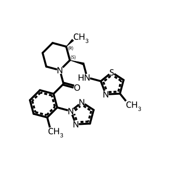 Cc1csc(NC[C@@H]2[C@H](C)CCCN2C(=O)c2cccc(C)c2-n2nccn2)n1